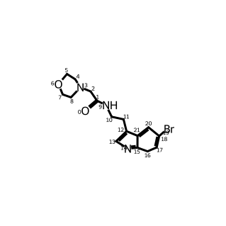 O=C(CN1CCOCC1)NCCC1=CN=C2CC=C(Br)C=C12